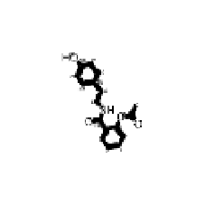 CC(=O)Oc1ccccc1C(=O)NCCc1ccc(O)cc1